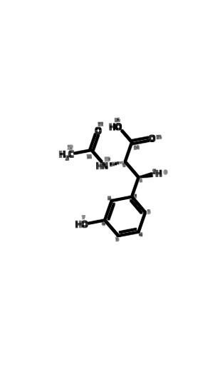 [2H][C@@H](c1cccc(O)c1)[C@H](NC(C)=O)C(=O)O